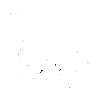 CC(C)CCC[C@@H](C)[C@H]1CC[C@H]2[C@@H]3CCC4CCCC(C=O)(C(N)=O)[C@]4(C)[C@H]3CC[C@]12C